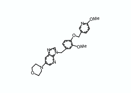 COc1ccc(COc2ccc(Cn3cnc4cc(N5CCOCC5)cnc43)cc2OC)cn1